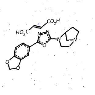 O=C(O)/C=C/C(=O)O.c1cc2c(cc1-c1nnc(N3CCN4CCC3C4)o1)OCO2